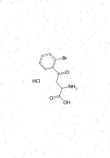 Cl.NC(CC(=O)c1ccccc1Br)C(=O)O